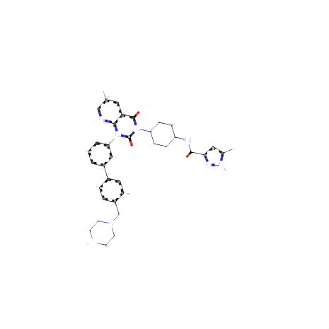 Cc1cc(C(=O)NC2CCC(n3c(=O)c4cc(F)cnc4n(-c4cccc(-c5ccc(CN6CCOCC6)cc5)c4)c3=O)CC2)nn1C